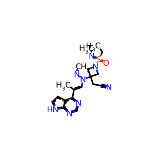 C=NN(/C=C(\C)c1ncnc2[nH]ccc12)C1(CC#N)CN(S(=O)(CC)=NC)C1